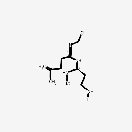 C=C(C)CC/C(=N/CCl)N[C@@H](CCNI)NCC